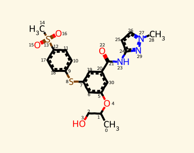 CC(CO)Oc1cc(Sc2ccc(S(C)(=O)=O)cc2)cc(C(=O)Nc2ccn(C)n2)c1